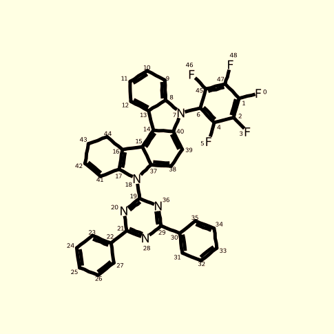 Fc1c(F)c(F)c(-n2c3ccccc3c3c4c5c(n(-c6nc(-c7ccccc7)nc(-c7ccccc7)n6)c4ccc32)C=CCC5)c(F)c1F